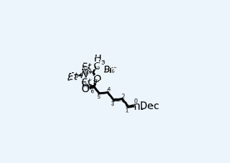 CCCCCCCCCCCCCCCC(=O)OC(C)[N+](CC)(CC)CC.[Br-]